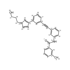 Cc1cccc(C(=O)Nc2cccc(C#Cc3cncc(-c4nnn(CCCO)n4)c3)c2)c1